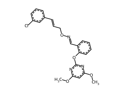 COc1cc(OC)nc(Oc2ccccc2C=NOCC=Cc2cccc(Cl)c2)n1